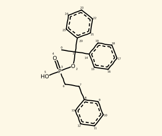 CC(OP(=O)(O)CCc1ccccc1)(c1ccccc1)c1ccccc1